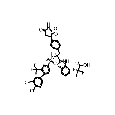 O=C(O)C(F)(F)F.O=C1CC(c2ccc(C[C@H](NS(=O)(=O)c3ccc(-c4ccc(Cl)c(Cl)c4)c(C(F)(F)F)c3)c3nc4ccccc4[nH]3)cc2)S(=O)(=O)N1